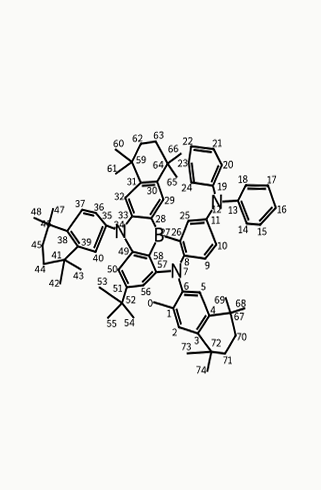 Cc1cc2c(cc1N1c3ccc(N(c4ccccc4)c4ccccc4)cc3B3c4cc5c(cc4N(c4ccc6c(c4)C(C)(C)CCC6(C)C)c4cc(C(C)(C)C)cc1c43)C(C)(C)CCC5(C)C)C(C)(C)CCC2(C)C